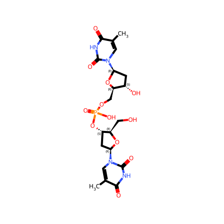 Cc1cn([C@H]2C[C@H](OP(=O)(O)OC[C@H]3O[C@@H](n4cc(C)c(=O)[nH]c4=O)C[C@@H]3O)[C@@H](CO)O2)c(=O)[nH]c1=O